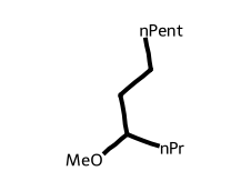 [CH2]OC(CCC)CCCCCCC